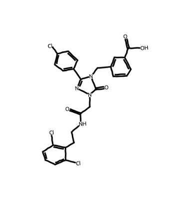 O=C(Cn1nc(-c2ccc(Cl)cc2)n(Cc2cccc(C(=O)O)c2)c1=O)NCCc1c(Cl)cccc1Cl